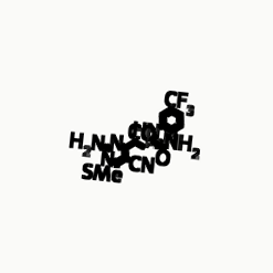 CSc1nc(N)nc(C(C[C@H](Nc2cccc(C(F)(F)F)c2)C(N)=O)C(=O)O)c1C#N